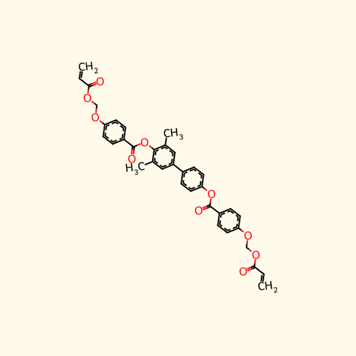 C=CC(=O)OCOc1ccc(C(=O)Oc2ccc(-c3cc(C)c(OC(=O)c4ccc(OCOC(=O)C=C)cc4)c(C)c3)cc2)cc1